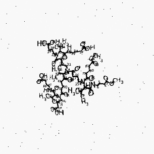 COC(=O)CCCNC(=O)C(C(C)C)N(CCCC(=O)N(CCCC(=O)N(CCCC(=O)O)C(C(=O)NCCCC(=O)O)C(C)C)C(C(=O)CCCC(=O)N(CCCC(=O)O)C(C(=O)NCCCC(=O)O)C(C)C)C(C)C)C(=O)CCCC(=O)OC